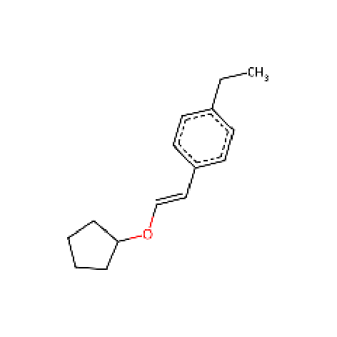 CCc1ccc(C=COC2CCCC2)cc1